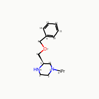 CC(C)N1CCN[C@@H](COCc2ccccc2)C1